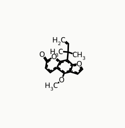 C=CC(C)(C)c1c2occc2c(OC)c2ccc(=O)oc12